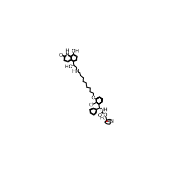 O=C(NC(c1ccccc1)c1cccc(OCCCCCCCCCNC[C@H](O)c2ccc(O)c3[nH]c(=O)ccc23)c1Cl)O[C@H]1CN2CCC1CC2